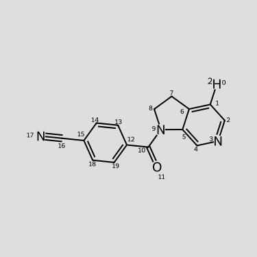 [2H]c1cncc2c1CCN2C(=O)c1ccc(C#N)cc1